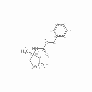 CC(C)C[C@@](C)(CC(=O)O)NC(=O)OCc1ccccc1